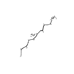 CCCCCCCCCN.[Ag]